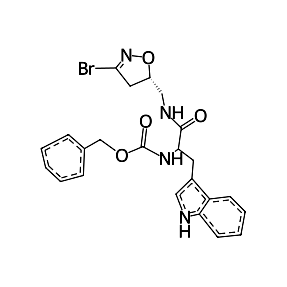 O=C(NC(Cc1c[nH]c2ccccc12)C(=O)NC[C@@H]1CC(Br)=NO1)OCc1ccccc1